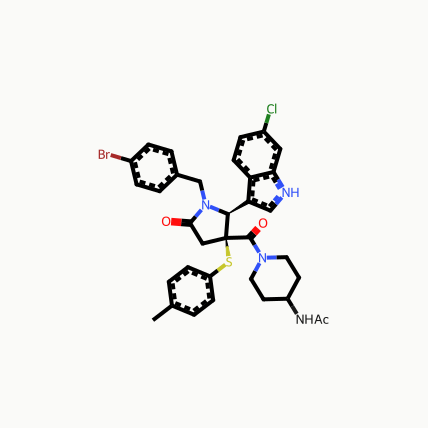 CC(=O)NC1CCN(C(=O)[C@]2(Sc3ccc(C)cc3)CC(=O)N(Cc3ccc(Br)cc3)[C@H]2c2c[nH]c3cc(Cl)ccc23)CC1